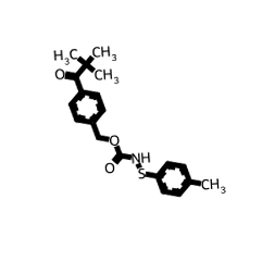 Cc1ccc(SNC(=O)OCc2ccc(C(=O)C(C)(C)C)cc2)cc1